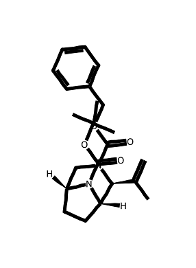 C=C(C)[C@H]1[C@@H]2CC[C@H](CN1C(=O)OCc1ccccc1)N2C(=O)OC(C)(C)C